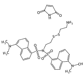 CN(C)c1cccc2c(S(=O)(=O)N(CCSSCCN)S(=O)(=O)c3cccc4c(N(C)C)cccc34)cccc12.O=C1C=CC(=O)N1